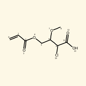 C=CC(=O)OCC(OC)C(Cl)C(=O)O